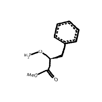 COC(=O)[C@H](Cc1ccccc1)OP